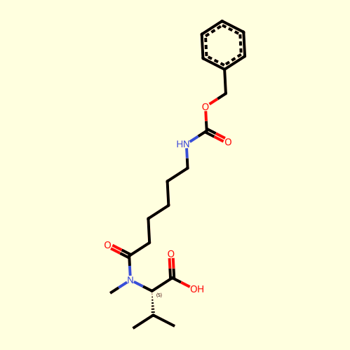 CC(C)[C@@H](C(=O)O)N(C)C(=O)CCCCCNC(=O)OCc1ccccc1